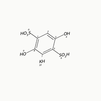 O=S(=O)(O)c1cc(O)c(S(=O)(=O)O)cc1O.[KH]